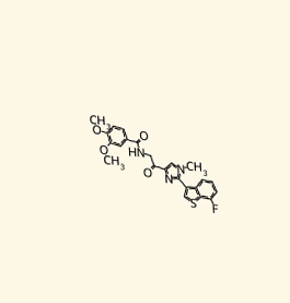 COc1ccc(C(=O)NCC(=O)c2cn(C)c(-c3csc4c(F)cccc34)n2)cc1OC